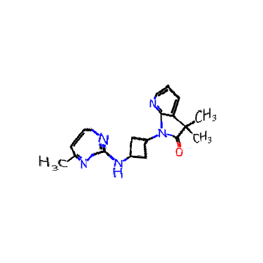 Cc1ccnc(NC2CC(N3C(=O)C(C)(C)c4cccnc43)C2)n1